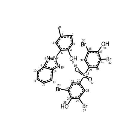 Cc1ccc(O)c(-n2nc3ccccc3n2)c1.O=S(=O)(c1cc(Br)c(O)c(Br)c1)c1cc(Br)c(O)c(Br)c1